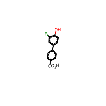 O=C(O)c1ccc(-c2ccc(O)c(F)c2)cc1